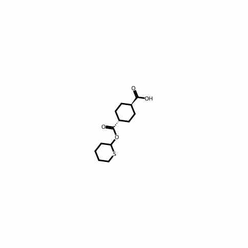 O=C(O)[C@H]1CC[C@H](C(=O)OC2CCCCS2)CC1